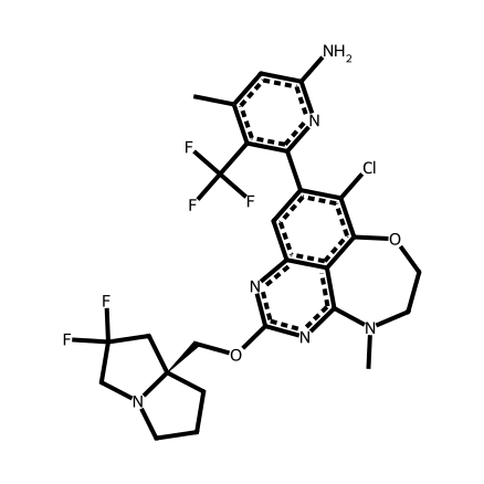 Cc1cc(N)nc(-c2cc3nc(OC[C@@]45CCCN4CC(F)(F)C5)nc4c3c(c2Cl)OCCN4C)c1C(F)(F)F